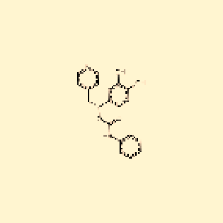 O=C(Bc1ccccc1)O[C@H](Cc1ccncc1)c1ccc(O)c(O)c1